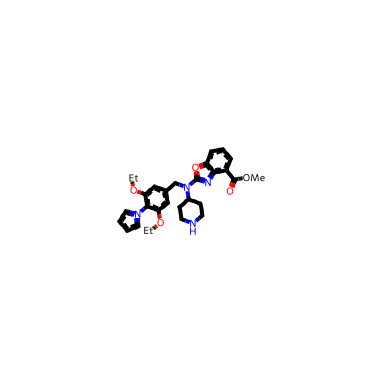 CCOc1cc(CN(c2nc3c(C(=O)OC)cccc3o2)C2CCNCC2)cc(OCC)c1-n1cccc1